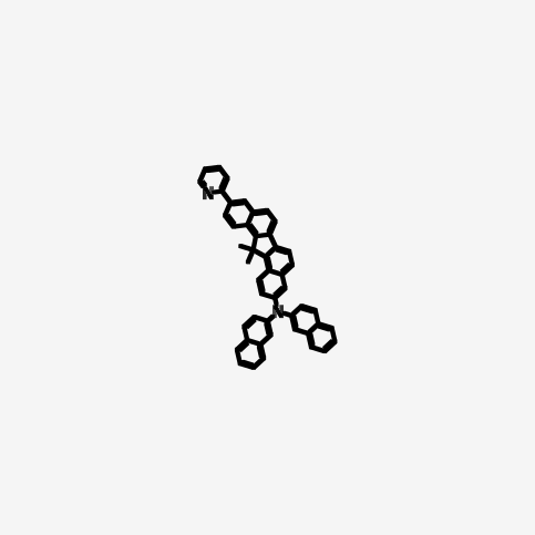 CC1(C)c2c(ccc3cc(-c4ccccn4)ccc23)-c2ccc3cc(N(c4ccc5ccccc5c4)c4ccc5ccccc5c4)ccc3c21